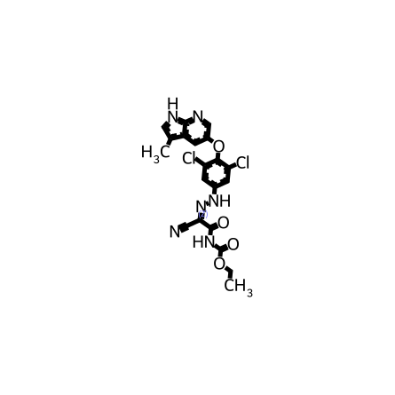 CCOC(=O)NC(=O)/C(C#N)=N\Nc1cc(Cl)c(Oc2cnc3[nH]cc(C)c3c2)c(Cl)c1